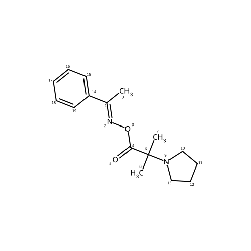 C/C(=N\OC(=O)C(C)(C)N1CCCC1)c1ccccc1